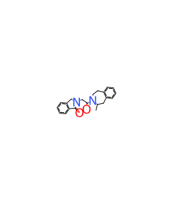 CC1Cc2ccccc2CCN1C(=O)CN1Cc2ccccc2C1=O